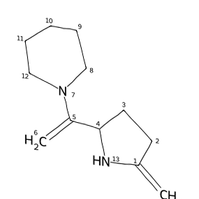 C=C1CCC(C(=C)N2CCCCC2)N1